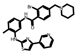 Cc1ccc(NC(=O)c2ccc(CN3CCCCC3)cc2Br)cc1Nc1nc(-c2cccnc2)cs1